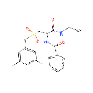 Cc1cc(C)cc(CS(=O)(=O)CC(NC(=O)c2ccccc2)C(=O)NCC#N)c1